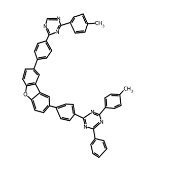 Cc1ccc(-c2ncnc(-c3ccc(-c4ccc5oc6ccc(-c7ccc(-c8nc(-c9ccccc9)nc(-c9ccc(C)cc9)n8)cc7)cc6c5c4)cc3)n2)cc1